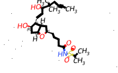 CC#CCC(C)(C)[C@H](O)C=C[C@@H]1[C@H]2C[C@@H](CCCCC(=O)NS(=O)(=O)C(C)C)O[C@H]2C[C@H]1O